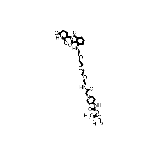 CC(C)(C)OC(=O)NC1CCN(CC(=O)NCCOCCOCCOCCNc2cccc3c2C(=O)N(C2CCC(=O)NC2=O)C3=O)CC1